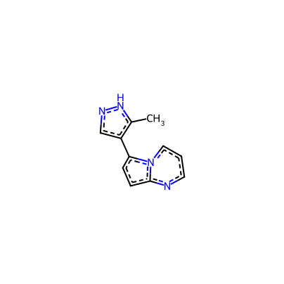 Cc1[nH]ncc1-c1ccc2ncccn12